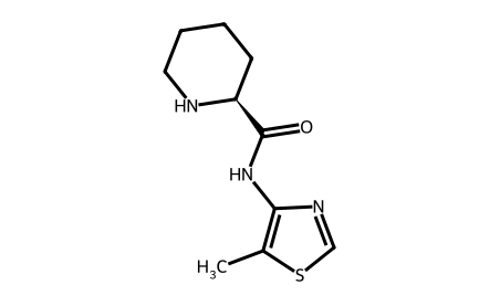 Cc1scnc1NC(=O)[C@@H]1CCCCN1